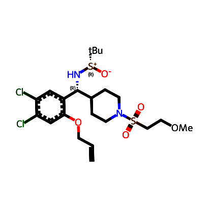 C=CCOc1cc(Cl)c(Cl)cc1[C@H](N[S@@+]([O-])C(C)(C)C)C1CCN(S(=O)(=O)CCOC)CC1